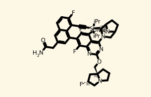 COc1c(F)c(-c2cc(CC(N)=O)cc3ccc(F)c(C#C[Si](C(C)C)(C(C)C)C(C)C)c23)c(F)c2nc(OC[C@@]34CCCN3C[C@H](F)C4)nc(N3CC4CCC(C3)N4)c12